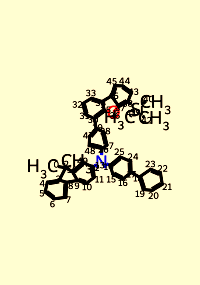 CC1(C)c2ccccc2-c2ccc(N(c3ccc(-c4ccccc4)cc3)c3ccc(-c4cccc5c4oc4c([Si](C)(C)C)cccc45)cc3)cc21